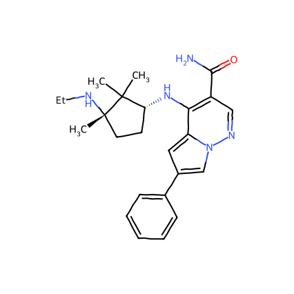 CCN[C@@]1(C)CC[C@@H](Nc2c(C(N)=O)cnn3cc(-c4ccccc4)cc23)C1(C)C